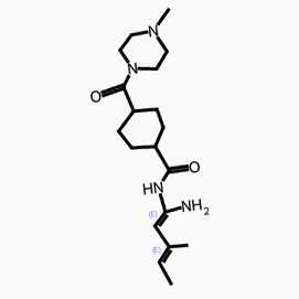 C/C=C(C)/C=C(\N)NC(=O)C1CCC(C(=O)N2CCN(C)CC2)CC1